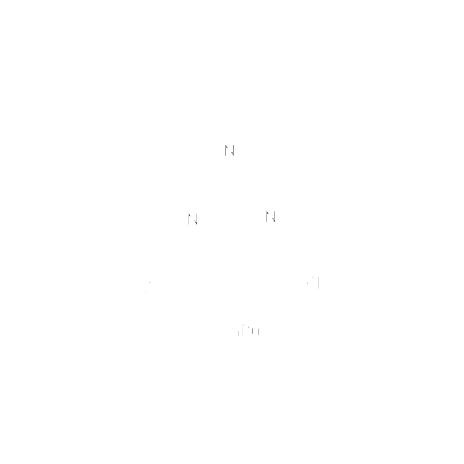 CCCCc1c(Cl)nc(N(C)C)nc1Cl